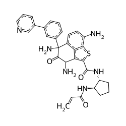 C=CC(=O)N[C@@H]1CCC[C@H]1NC(=O)c1sc2c(N)ccc3c2c1C(N)C(=O)C3(N)c1cccc(-c2cccnc2)c1